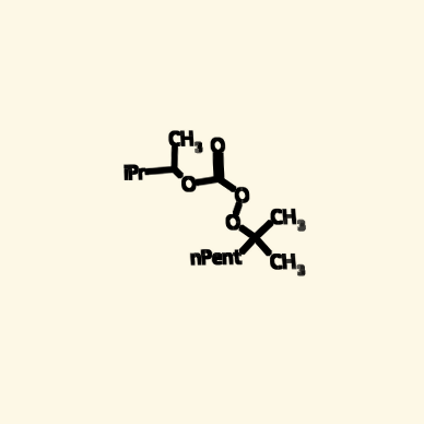 CCCCCC(C)(C)OOC(=O)OC(C)C(C)C